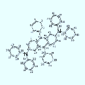 C1=CCCC(c2c3ccc(N(c4ccccc4)c4ccccc4)cc3c(C3=CC=CCC3)c3ccc(N(c4ccccc4)c4ccccc4)cc23)=C1